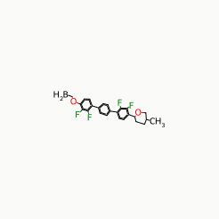 BCOc1ccc(-c2ccc(-c3ccc(C4CCC(C)CO4)c(F)c3F)cc2)c(F)c1F